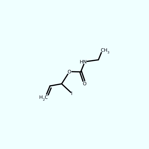 C=CC(I)OC(=O)NCC